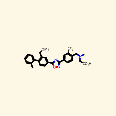 COCc1cc(-c2nc(-c3ccc(CN(C)CC(=O)O)c(C(F)(F)F)c3)no2)ccc1-c1ccccc1C